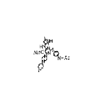 COc1c(Nc2cc(C)[nH]n2)nc(Sc2ccc(NC(C)=O)cc2)nc1N1CCN(C2CCN(C)CC2)CC1